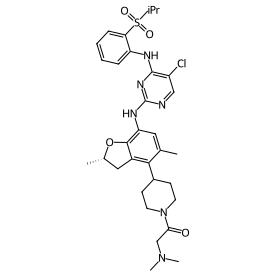 Cc1cc(Nc2ncc(Cl)c(Nc3ccccc3S(=O)(=O)C(C)C)n2)c2c(c1C1CCN(C(=O)CN(C)C)CC1)C[C@H](C)O2